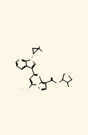 CNc1cc(-c2cn([C@H]3CC3(F)F)c3ncccc23)nc2c(C(=O)NC3COCC3O)cnn12